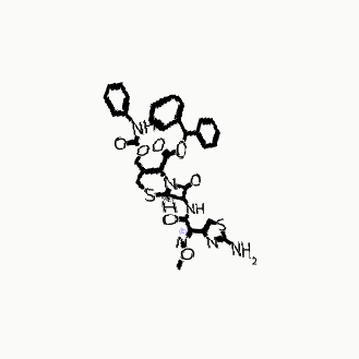 CO/N=C(/C(=O)NC1C(=O)N2C(C(=O)OC(c3ccccc3)c3ccccc3)=C(COC(=O)Nc3ccccc3)CS[C@H]12)c1csc(N)n1